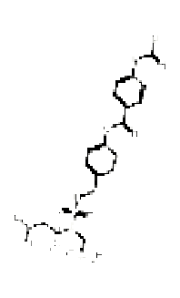 N=C(N)Nc1ccc(C(=O)OC2=CC=C(CNS(=O)(=O)N(CC(=O)O)[C@@H](CC(O)O)C(=O)O)CC2)cc1